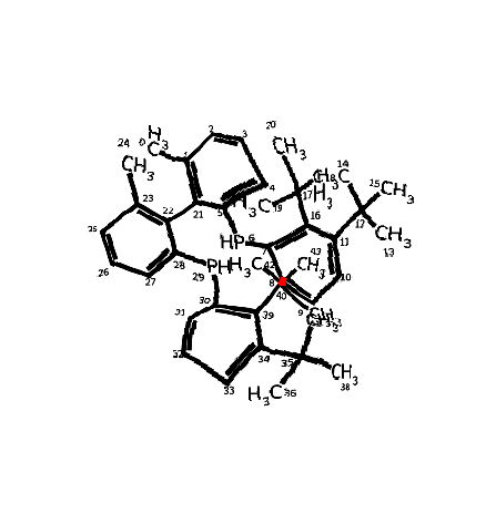 Cc1cccc(Pc2cccc(C(C)(C)C)c2C(C)(C)C)c1-c1c(C)cccc1Pc1cccc(C(C)(C)C)c1C(C)(C)C